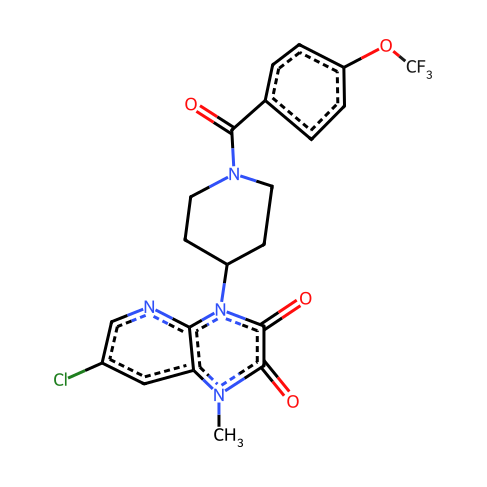 Cn1c(=O)c(=O)n(C2CCN(C(=O)c3ccc(OC(F)(F)F)cc3)CC2)c2ncc(Cl)cc21